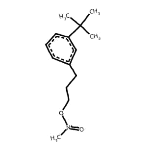 C[N+](=O)OCCCc1cccc(C(C)(C)C)c1